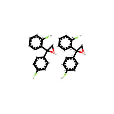 Fc1ccc(C2(c3ccccc3F)CO2)cc1.Fc1ccc(C2(c3ccccc3F)CO2)cc1